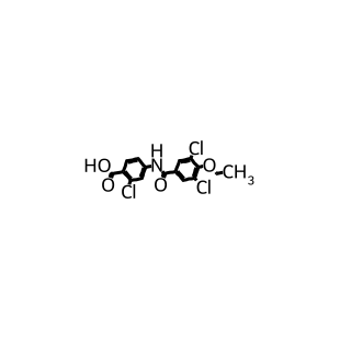 CCOc1c(Cl)cc(C(=O)Nc2ccc(C(=O)O)c(Cl)c2)cc1Cl